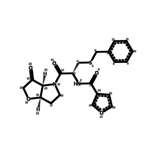 O=C(N[C@@H](CSCc1ccccc1)C(=O)N1CC[C@H]2OCC(=O)[C@H]21)c1ccoc1